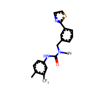 Cc1ccc(NC(=O)N(Cc2cccc(-c3nccs3)c2)C(C)C)cc1C(F)(F)F